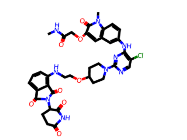 CNC(=O)COc1cc2cc(Nc3nc(N4CCC(OCCNc5cccc6c5C(=O)N(C5CCC(=O)NC5=O)C6=O)CC4)ncc3Cl)ccc2n(C)c1=O